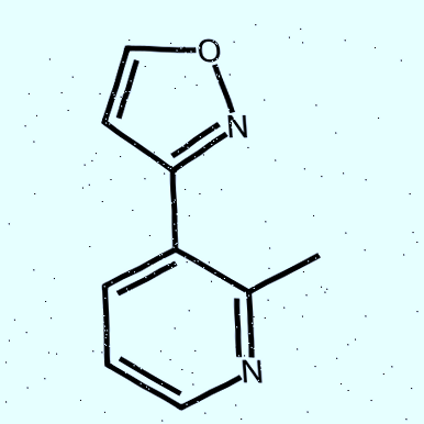 Cc1ncccc1-c1ccon1